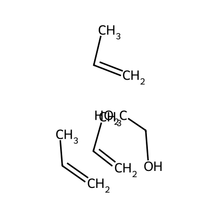 C=CC.C=CC.C=CC.O=C(O)CO